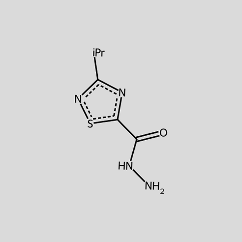 CC(C)c1nsc(C(=O)NN)n1